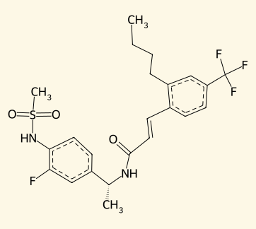 CCCCc1cc(C(F)(F)F)ccc1/C=C/C(=O)N[C@H](C)c1ccc(NS(C)(=O)=O)c(F)c1